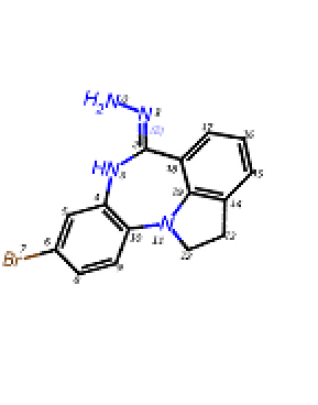 N/N=C1\Nc2cc(Br)ccc2N2CCc3cccc1c32